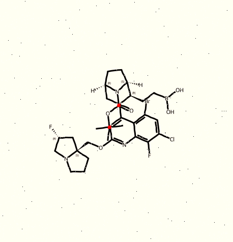 CC(C)(C)OC(=O)N1[C@@H]2CC[C@H]1[C@@H](CCB(O)O)N(c1nc(OC[C@@]34CCCN3C[C@H](F)C4)nc3c(F)c(Cl)cc(Br)c13)C2